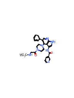 O=C(O)NCC(=O)N1CCN(c2c(-c3ccccc3)cnc3[nH]cc(NC(=O)c4cccnc4)c23)CC1